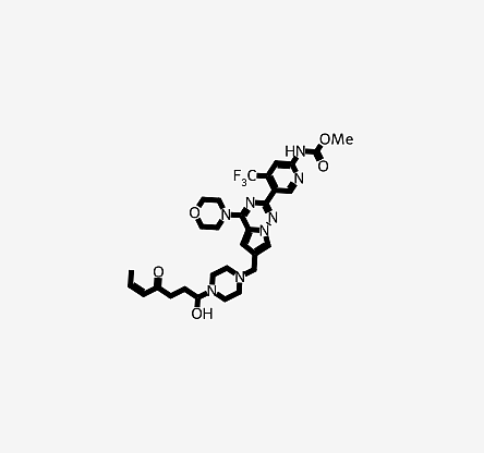 C/C=C\C(=O)CCC(O)N1CCN(Cc2cc3c(N4CCOCC4)nc(-c4cnc(NC(=O)OC)cc4C(F)(F)F)nn3c2)CC1